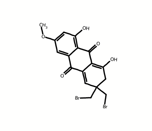 COc1cc(O)c2c(c1)C(=O)C1=CC(CBr)(CBr)CC(O)=C1C2=O